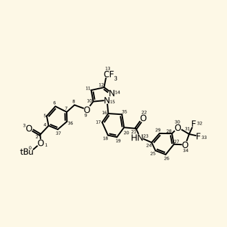 CC(C)(C)OC(=O)c1ccc(COc2cc(C(F)(F)F)nn2-c2cccc(C(=O)Nc3ccc4c(c3)OC(F)(F)O4)c2)cc1